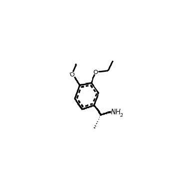 CCOc1cc([C@@H](C)N)ccc1OC